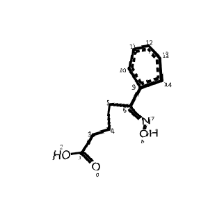 O=C(O)CCCC(=NO)c1ccccc1